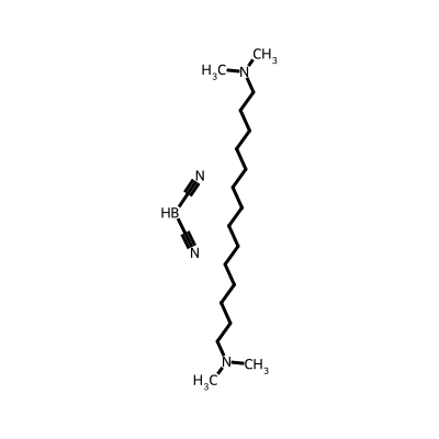 CN(C)CCCCCCCCCCCCCCN(C)C.N#CBC#N